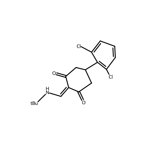 CC(C)(C)NC=C1C(=O)CC(c2c(Cl)cccc2Cl)CC1=O